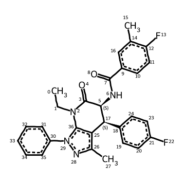 CCN1C(=O)[C@@H](NC(=O)c2ccc(F)c(C)c2)[C@@H](c2ccc(F)cc2)c2c(C)nn(-c3ccccc3)c21